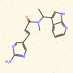 CC(c1c[nH]c2ncccc12)N(C)C(=O)/C=C/c1cnc(N)nc1